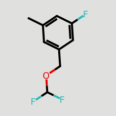 Cc1cc(F)cc(COC(F)F)c1